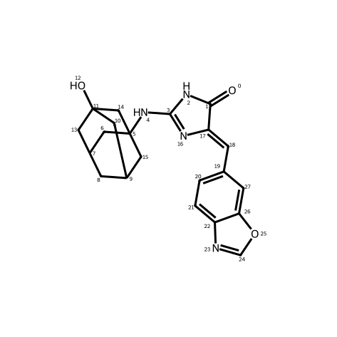 O=C1NC(NC23CC4CC(CC(O)(C4)C2)C3)=N/C1=C\c1ccc2ncoc2c1